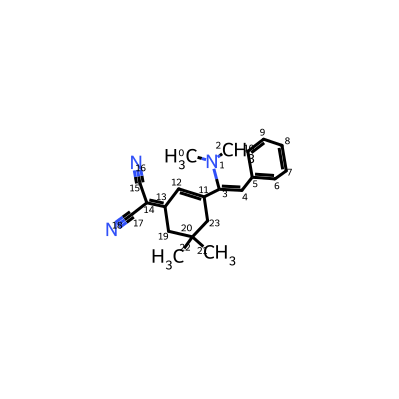 CN(C)C(=Cc1ccccc1)C1=CC(=C(C#N)C#N)CC(C)(C)C1